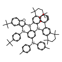 Cc1ccc(N(c2ccc(C)cc2)c2cc3c4c(c2)N(c2ccc(C(C)(C)C)cc2)c2c(oc5ccc(C(C)(C)C)cc25)B4c2cc4c(cc2N3c2cc3c(cc2-c2c#cccc2)C(C)(C)CCC3(C)C)C(C)(C)CCC4(C)C)cc1